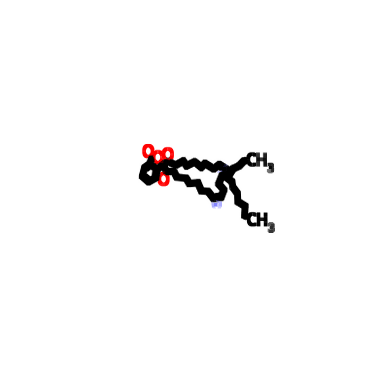 CCCCCCCC/C=C\CCCCCCCC(=O)C1(C(=O)CCCCCCC/C=C\CCCCCCCC)OC(=O)c2ccccc21